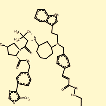 CCCNNC(=O)/C=C/c1ccc(CN(CCc2c[nH]c3ccccc23)C2CCCCC(N[C@H](C(=O)N3C[C@H](O)C[C@H]3C(=O)NCc3ccc(-c4scnc4C)cc3)C(C)(C)C)C2)cc1